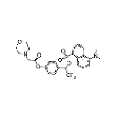 CN(C)c1cccc2c(S(=O)(=O)OC(c3ccc(OC(=O)CN4CCOCC4)cc3)C(F)(F)F)cccc12